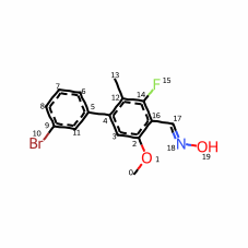 COc1cc(-c2cccc(Br)c2)c(C)c(F)c1C=NO